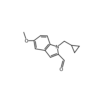 COc1ccc2c(c1)cc(C=O)n2CC1CC1